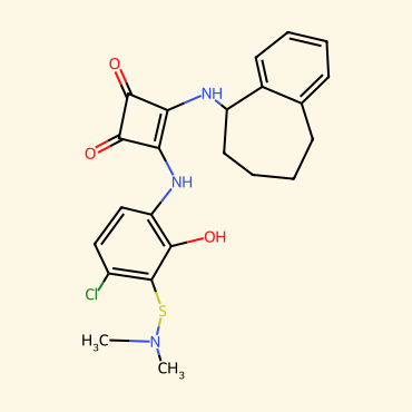 CN(C)Sc1c(Cl)ccc(Nc2c(NC3CCCCc4ccccc43)c(=O)c2=O)c1O